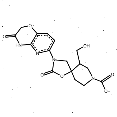 O=C1COc2ccc(N3CC4(CCN(C(=O)O)CC4CO)OC3=O)nc2N1